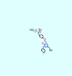 CCOC(Cc1ccc(OCCN(CCCC(C)C)C(=O)NCc2ccc(F)cc2)cc1)C(=O)O